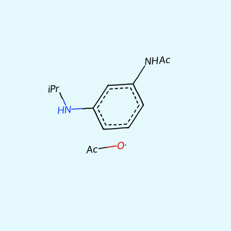 CC(=O)Nc1cccc(NC(C)C)c1.CC([O])=O